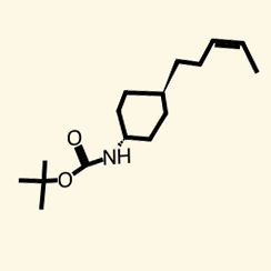 C/C=C\CC[C@H]1CC[C@H](NC(=O)OC(C)(C)C)CC1